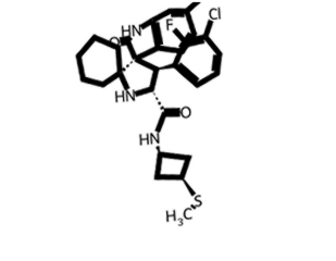 CS[C@H]1C[C@H](NC(=O)[C@@H]2NC3(CCCCC3)[C@@]3(C(=O)Nc4cc(Cl)ccc43)[C@H]2c2cccc(Cl)c2F)C1